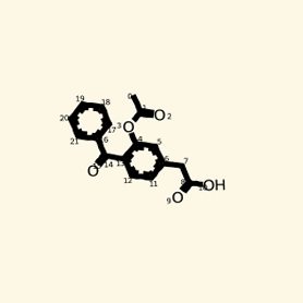 CC(=O)Oc1cc(CC(=O)O)ccc1C(=O)c1ccccc1